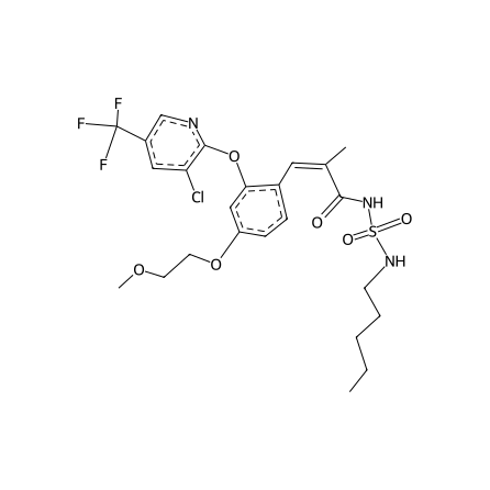 CCCCCNS(=O)(=O)NC(=O)C(C)=Cc1ccc(OCCOC)cc1Oc1ncc(C(F)(F)F)cc1Cl